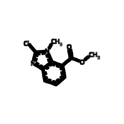 COC(=O)c1cccc2nc(Cl)n(C)c12